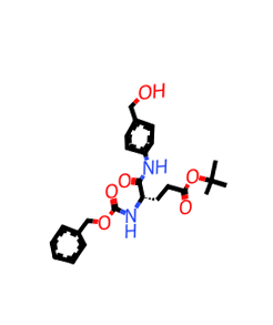 CC(C)(C)OC(=O)CC[C@H](NC(=O)OCc1ccccc1)C(=O)Nc1ccc(CO)cc1